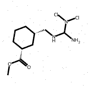 COC(=O)[C@@H]1CCC[C@H](CNC(N)N(Cl)Cl)C1